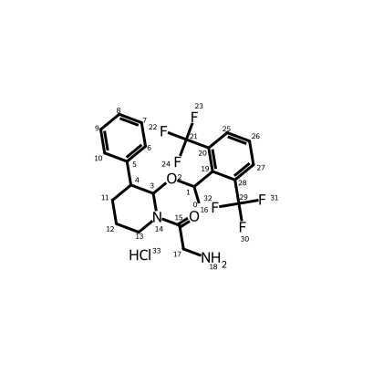 CC(OC1C(c2ccccc2)CCCN1C(=O)CN)c1c(C(F)(F)F)cccc1C(F)(F)F.Cl